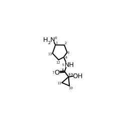 NC1CCC(NC(=O)C2(O)CC2)CC1